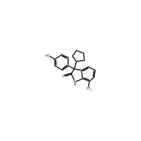 O=C1Nc2c(C(F)(F)F)cccc2C1(c1ccc(O)cc1)C1CCCC1